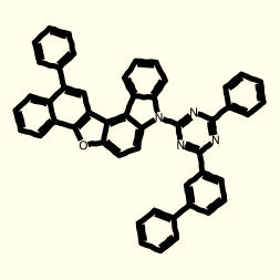 c1ccc(-c2cccc(-c3nc(-c4ccccc4)nc(-n4c5ccccc5c5c6c(ccc54)oc4c5ccccc5c(-c5ccccc5)cc46)n3)c2)cc1